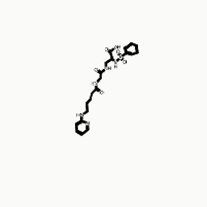 O=C(CCCCNc1ccccn1)NCC(=O)NCC(NS(=O)(=O)c1ccccc1)C(=O)O